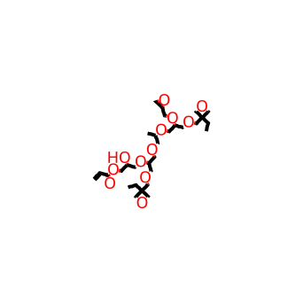 C=CC(=O)OCC(O)COC(COCC(C)OCC(COCC1(CC)COC1)OCC1CO1)COCC1(CC)COC1